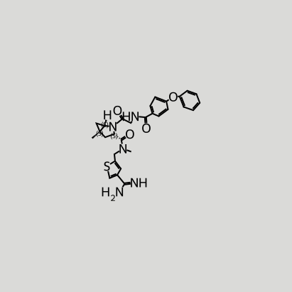 CN(Cc1cc(C(=N)N)cs1)C(=O)[C@@H]1C[C@]2(C)C[C@@H]2N1C(=O)CNC(=O)c1ccc(Oc2ccccc2)cc1